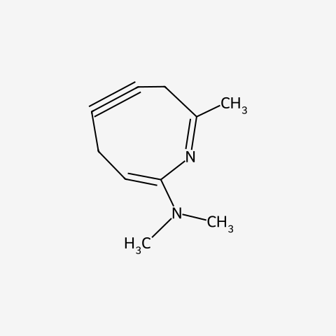 C/C1=N/C(N(C)C)=C\CC#CC1